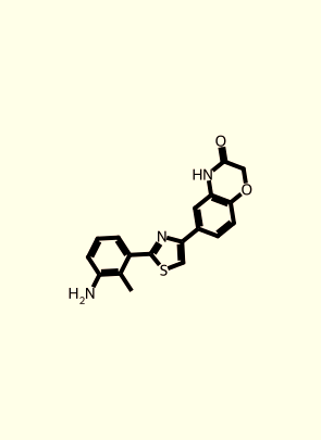 Cc1c(N)cccc1-c1nc(-c2ccc3c(c2)NC(=O)CO3)cs1